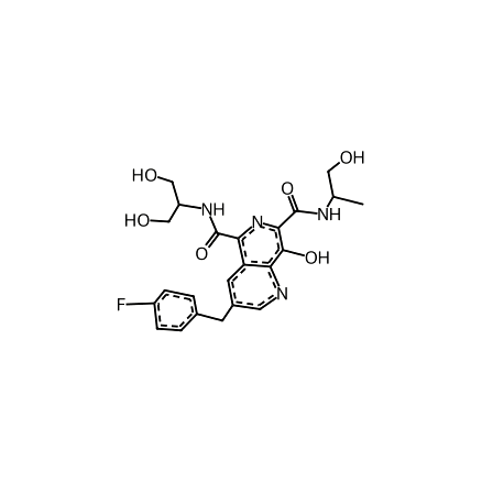 CC(CO)NC(=O)c1nc(C(=O)NC(CO)CO)c2cc(Cc3ccc(F)cc3)cnc2c1O